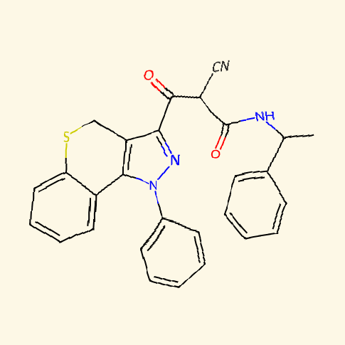 CC(NC(=O)C(C#N)C(=O)c1nn(-c2ccccc2)c2c1CSc1ccccc1-2)c1ccccc1